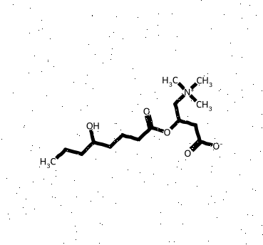 CCCC(O)CCCC(=O)OC(CC(=O)[O-])C[N+](C)(C)C